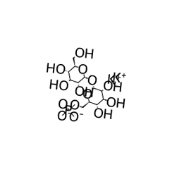 O=P([O-])([O-])OC[C@H]1O[C@H](O[C@@H]2O[C@H](CO)[C@@H](O)[C@H](O)[C@H]2O)[C@H](O)[C@@H](O)[C@@H]1O.[K+].[K+]